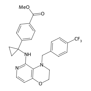 COC(=O)c1ccc(C2(Nc3nccc4c3N(Cc3ccc(C(F)(F)F)cc3)CCO4)CC2)cc1